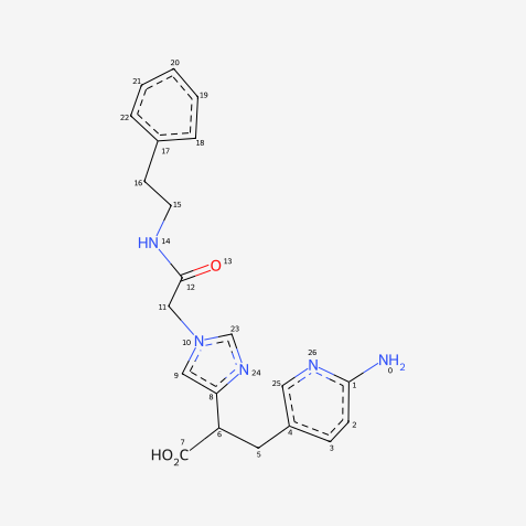 Nc1ccc(CC(C(=O)O)c2cn(CC(=O)NCCc3ccccc3)cn2)cn1